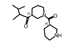 CC(C)C(C)C(=O)[C@H]1CCCN(C(=O)[C@@H]2CCCNC2)C1